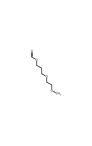 COCCOCCCOC=O